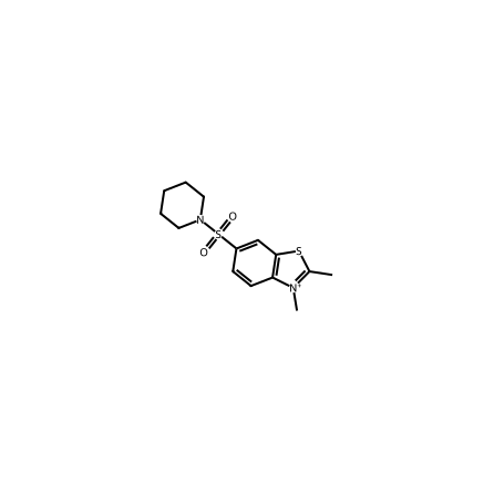 Cc1sc2cc(S(=O)(=O)N3CCCCC3)ccc2[n+]1C